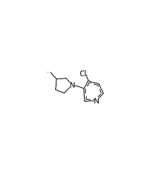 [CH2]C1CCN(c2cnccc2Cl)C1